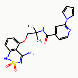 CC(C)(COc1cccc2c1C(N)=NS(=O)(=O)N2)NC(=O)c1ccnc(-n2cccc2)c1